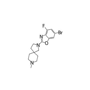 CN1CCC2(CC1)CCN(c1nc3c(F)cc(Br)cc3o1)C2